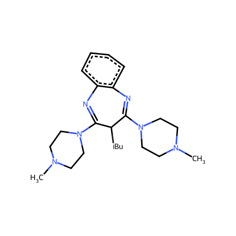 CCC(C)C1C(N2CCN(C)CC2)=Nc2ccccc2N=C1N1CCN(C)CC1